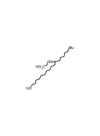 CCC(C)CCCCCCCCCCCCCCCCO.CCCCCCCCCCCC(=O)O